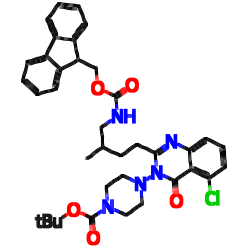 CC(CCc1nc2cccc(Cl)c2c(=O)n1N1CCN(C(=O)OC(C)(C)C)CC1)CNC(=O)OCC1c2ccccc2-c2ccccc21